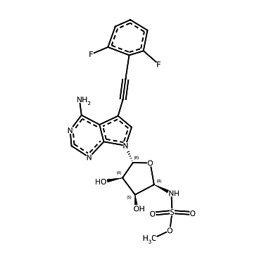 COS(=O)(=O)N[C@@H]1O[C@@H](n2cc(C#Cc3c(F)cccc3F)c3c(N)ncnc32)[C@H](O)[C@@H]1O